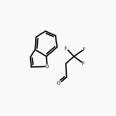 O=CCC(F)(F)F.c1ccc2occc2c1